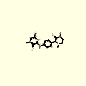 CCN1CCN(C)C(c2ccc(Nc3nc(Br)cn(C)c3=O)cc2)C1=O